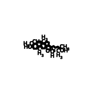 CC(C)(O)CCC[C@@H](C(=O)O)C1CC[C@@]2(C)C3=CCC4C(C)(C)[C@@H](O)CC[C@]4(C)C3=CC[C@]12C